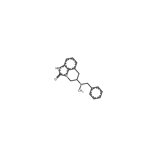 CN(Cc1ccccc1)C1Cc2cccc3[nH]c(=O)n(c23)C1